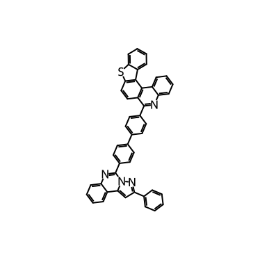 c1ccc(-c2cc3c4ccccc4nc(-c4ccc(-c5ccc(-c6nc7ccccc7c7c6ccc6sc8ccccc8c67)cc5)cc4)n3n2)cc1